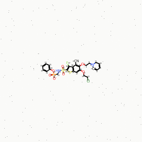 N#Cc1c(OCCN2[C+]=CC=CC2)c(OCCCl)cc2sc(S(=O)(=O)NCP(=O)([O-])Oc3ccccc3)c(F)c12